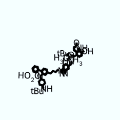 CC(C)(C)NC1CCC(N(C(=O)O)c2cc(CCCCn3nnc4cc(CNC[C@H](O[Si](C)(C)C(C)(C)C)c5ccc(O)c6[nH]c(=O)ccc56)ccc43)ccc2-c2ccccc2)CC1